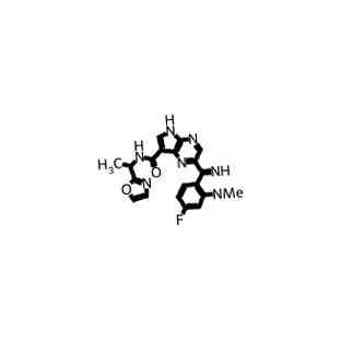 CNc1cc(F)ccc1C(=N)c1cnc2[nH]cc(C(=O)NC(C)c3ncco3)c2n1